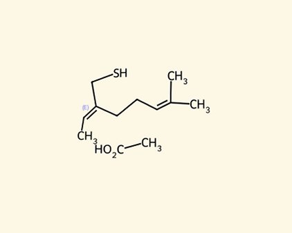 C/C=C(/CS)CCC=C(C)C.CC(=O)O